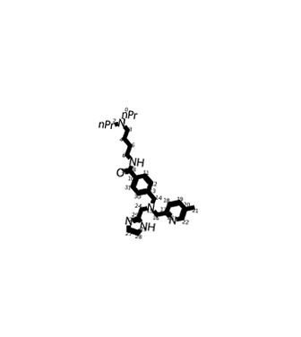 CCCN(CCC)CCCCNC(=O)c1ccc(CN(Cc2ccc(C)cn2)Cc2ncc[nH]2)cc1